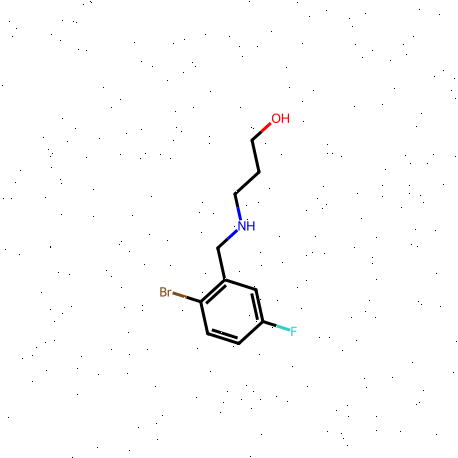 OCCCNCc1cc(F)ccc1Br